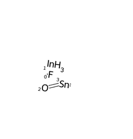 [F].[InH3].[O]=[Sn]